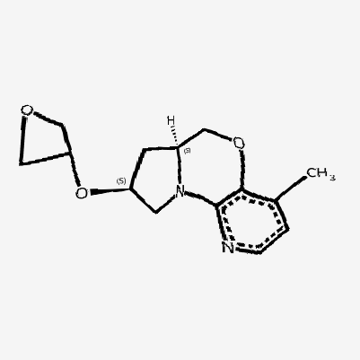 Cc1ccnc2c1OC[C@@H]1C[C@H](OC3COC3)CN21